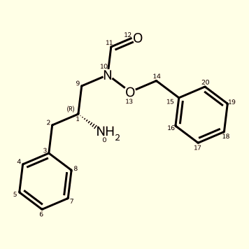 N[C@H](Cc1ccccc1)CN(C=O)OCc1ccccc1